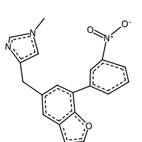 Cn1cnc(Cc2cc(-c3cccc([N+](=O)[O-])c3)c3occc3c2)c1